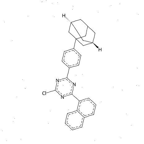 Clc1nc(-c2ccc(C34CC5C[C@H](C3)C[C@H](C5)C4)cc2)nc(-c2cccc3ccccc23)n1